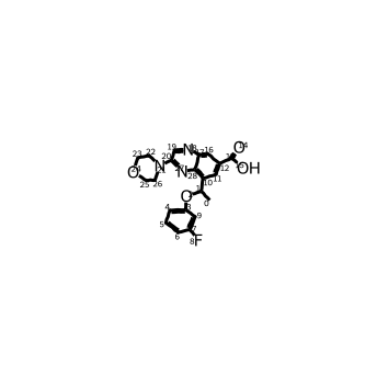 CC(Oc1cccc(F)c1)c1cc(C(=O)O)cc2ncc(N3CCOCC3)nc12